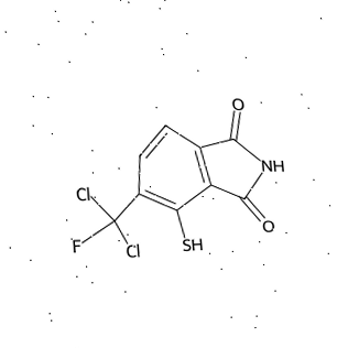 O=C1NC(=O)c2c1ccc(C(F)(Cl)Cl)c2S